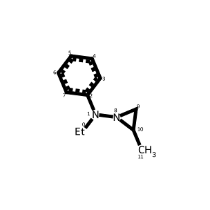 CCN(c1ccccc1)N1CC1C